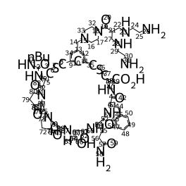 CCCCNC(=O)N[C@H]1CSCc2cc(cc(CN3CCN(C(=O)C(CNCCN)CNCCN)CC3)c2)CSC[C@@H](C(=O)O)NC(=O)[C@H](Cc2ccccc2)NC(=O)[C@H](CCC(N)=O)NC(=O)[C@H]([C@@H](C)O)NC(=O)[C@@H]2CCCN2C(=O)[C@@H]2CCCN2C1=O